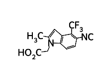 [C-]#[N+]c1ccc2c(cc(C)n2CC(=O)O)c1C(F)(F)F